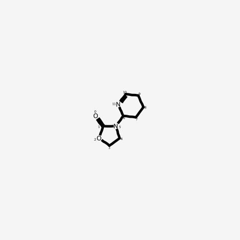 O=C1OCCN1C1CCCC=N1